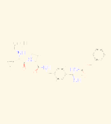 N=C(NC(=O)OCc1ccccc1)c1ccc(CNC(=O)[C@@H]2CCN2C(=O)C(NCC(=O)O)C2CC2)cc1